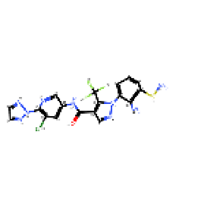 NSc1cccc(-n2ncc(C(=O)Nc3cnc(-n4nccn4)c(Cl)c3)c2C(F)(F)F)c1N